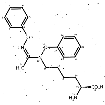 C/C(=N/Oc1ccccc1)N(CCCC[C@H](N)C(=O)O)Oc1ccccc1